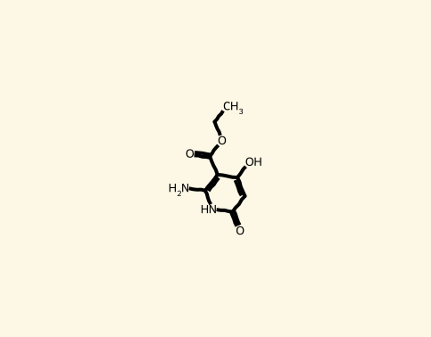 CCOC(=O)c1c(O)cc(=O)[nH]c1N